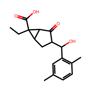 CCC1(C(=O)O)C2CC(C(O)c3cc(C)ccc3C)C(=O)C21